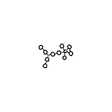 c1ccc(-c2ccc(N(c3ccc(-c4ccccc4)cc3)c3ccc(-c4ccc(-c5c(-c6ccccc6)c6c7ccccc7c7ccccc7n6c5-c5ccccc5)cc4)cc3)cc2)cc1